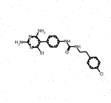 CCc1nc(N)nc(N)c1-c1ccc(NC(=O)NCCc2ccc(Cl)cc2)cc1